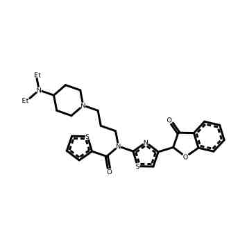 CCN(CC)C1CCN(CCCN(C(=O)c2cccs2)c2nc(C3Oc4ccccc4C3=O)cs2)CC1